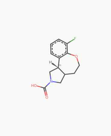 O=C(O)N1CC2CCOc3c(F)cccc3[C@H]2C1